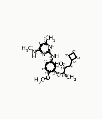 CNc1cc(C)nc(Nc2ccc(OC)c(O[C@H](C)[C@H](O)CC3CCC3)c2)n1